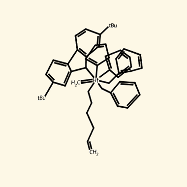 C=CCCC[CH2][Hf](=[CH2])([CH2]c1ccccc1)([CH2]c1ccccc1)([C]1=CC=CC1)([c]1ccccc1)[CH]1c2cc(C(C)(C)C)ccc2-c2ccc(C(C)(C)C)cc21